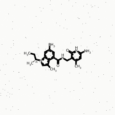 Bc1cc(C(=O)NCc2c(C)cc(N)[nH]c2=O)c2c(C)cn([C@H](C)CC)c2c1